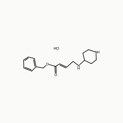 Cl.O=C(C=CCNC1CCNCC1)OCc1ccccc1